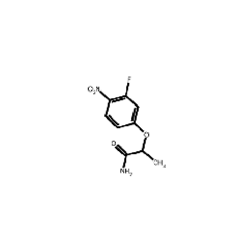 CC(Oc1ccc([N+](=O)[O-])c(F)c1)C(N)=O